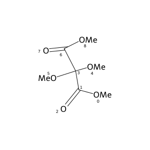 COC(=O)C(OC)(OC)C(=O)OC